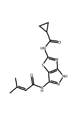 CC(C)=CC(=O)Nc1n[nH]c2nc(NC(=O)C3CC3)sc12